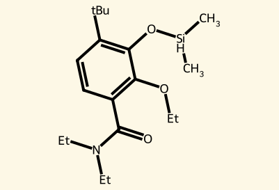 CCOc1c(C(=O)N(CC)CC)ccc(C(C)(C)C)c1O[SiH](C)C